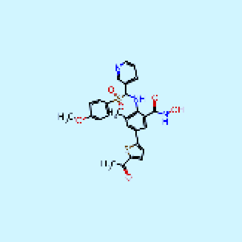 COc1ccc(S(=O)(=O)C(Nc2c(C)cc(-c3ccc(C(C)=O)s3)cc2C(=O)NO)c2cccnc2)cc1